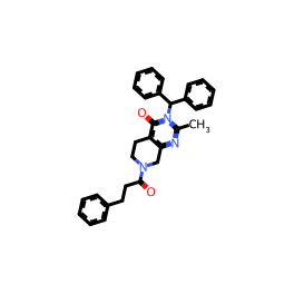 Cc1nc2c(c(=O)n1C(c1ccccc1)c1ccccc1)CCN(C(=O)CCc1ccccc1)C2